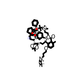 Cc1ccc(OCCCN=[N+]=[N-])c(C(CC[C@@H]2OC(C)(C)O[C@@H]2C(/C=C\[C@@H](C)[C@H](C)O[Si](c2ccccc2)(c2ccccc2)C(C)(C)C)O[Si](C)(C)C(C)(C)C)Sc2ccccc2)c1C(=O)OCC[Si](C)(C)C